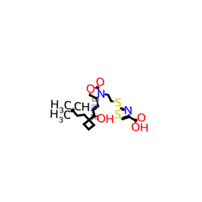 CC(C)(C)CCC1([C@H](O)/C=C/[C@H]2COC(=O)N2CCSc2nc(C(=O)O)cs2)CCC1